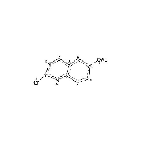 CC(=O)Oc1ccc2nc(Cl)ncc2c1